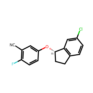 N#Cc1cc(O[C@H]2CCc3ccc(Cl)cc32)ccc1F